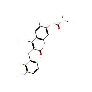 Cc1c(Cc2cccc(N)c2F)c(=O)oc2cc(OC(=O)N(C)C)c(Cl)cc12